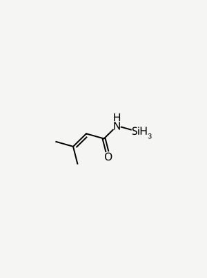 CC(C)=CC(=O)N[SiH3]